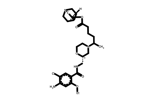 CCOc1cc(N)c(Cl)cc1C(=O)NC[C@H]1CN(C(C)CCCC(=O)O[C@H]2CN3CCC2CC3)CCO1